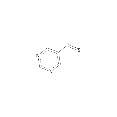 S=[C]c1cncnc1